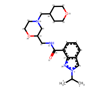 CC(C)n1cc2cccc(C(=O)NCC3CN(CC4CCOCC4)CCO3)c2n1